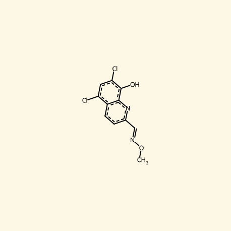 CO/N=C/c1ccc2c(Cl)cc(Cl)c(O)c2n1